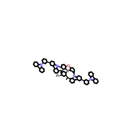 CC(C)c1cc2c3c(c1)C(C)c1cccc4c5cc(-c6cccc(-n7c8ccccc8c8ccccc87)c6)ccc5n(c14)-c1ccc4c(c1)B3c1cc(ccc1O4)-n1c3ccc(-c4cccc(-n5c6ccccc6c6ccccc65)c4)cc3c3cccc(c31)C2C